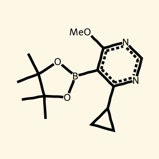 COc1ncnc(C2CC2)c1B1OC(C)(C)C(C)(C)O1